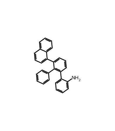 Nc1ccccc1-c1cccc(-c2cccc3ccccc23)c1-c1ccccc1